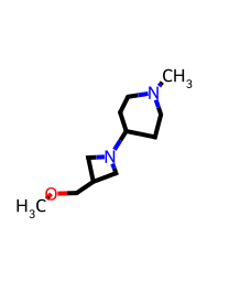 COCC1CN(C2CCN(C)CC2)C1